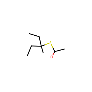 CCC(C)(CC)SC(C)[O]